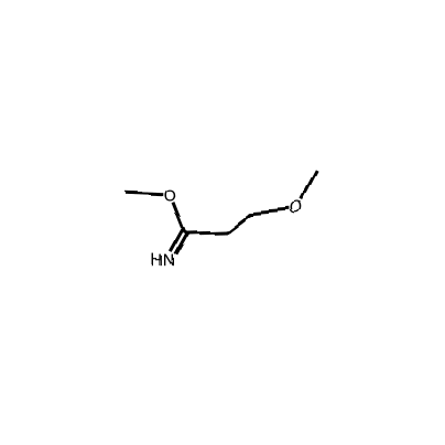 COCCC(=N)OC